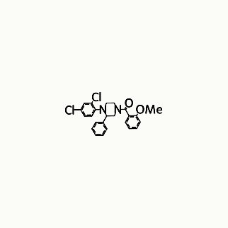 COc1ccccc1C(=O)N1CCN(c2ccc(Cl)cc2Cl)C(c2ccccc2)C1